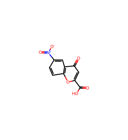 O=C(O)c1cc(=O)c2cc([N+](=O)[O-])ccc2o1